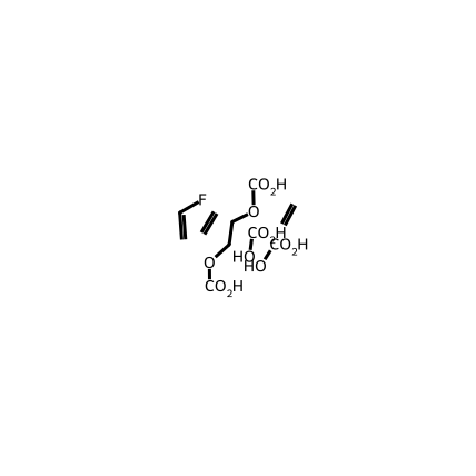 C=C.C=C.C=CF.O=C(O)O.O=C(O)O.O=C(O)OCCOC(=O)O